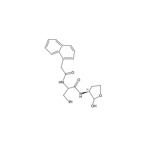 CC(C)CC(NC(=O)Cc1cccc2ccccc12)C(=O)N[C@H]1CCOC1O